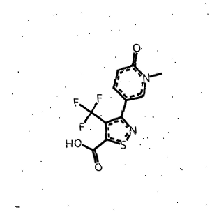 Cn1cc(-c2nsc(C(=O)O)c2C(F)(F)F)ccc1=O